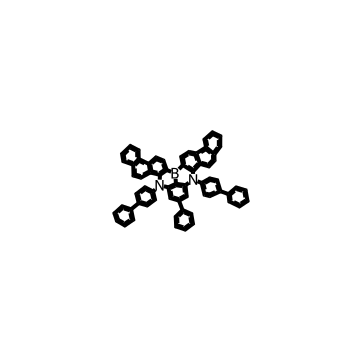 c1ccc(-c2ccc(N3c4cc(-c5ccccc5)cc5c4B(c4ccc6c(ccc7ccccc76)c43)c3ccc4c(ccc6ccccc64)c3N5c3ccc(-c4ccccc4)cc3)cc2)cc1